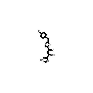 O=C(C=C(O)c1nc[nH]n1)c1csc(Cc2ccc(F)cc2)n1